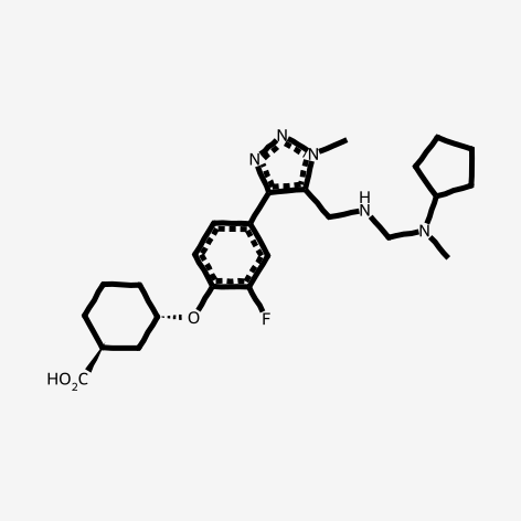 CN(CNCc1c(-c2ccc(O[C@H]3CCC[C@H](C(=O)O)C3)c(F)c2)nnn1C)C1CCCC1